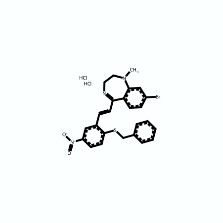 CN1CCN=C(/C=C/c2cc([N+](=O)[O-])ccc2SCc2ccccc2)c2ccc(Br)cc21.Cl.Cl